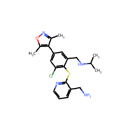 Cc1noc(C)c1-c1cc(Cl)c(Sc2ncccc2CN)c(CNC(C)C)c1